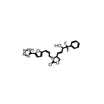 O=C1OCC(/C=C/C(O)C(F)(F)c2ccccc2)N1C/C=C\c1ccc(-c2nnn[nH]2)o1